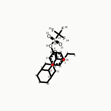 CCOC(=O)N1CC2CCCC(C1)C2c1cccc(OS(=O)(=O)C(F)(F)F)c1